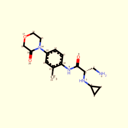 NC[C@H](NC1CC1)C(=O)Nc1ccc(N2CCOCC2=O)cc1C(F)(F)F